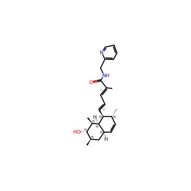 C/C(=C\C=C\[C@@H]1[C@@H]2[C@H](C)[C@@H](O)[C@H](C)C[C@@H]2C=C[C@H]1C)C(=O)NCc1ccccn1